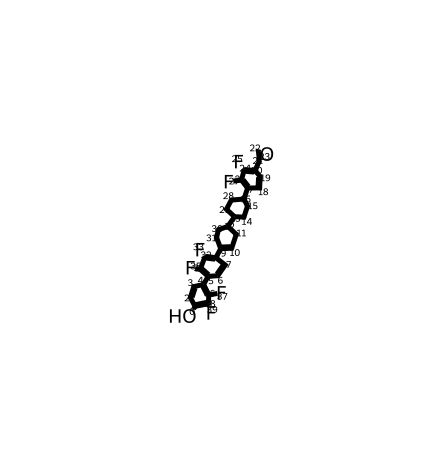 Oc1ccc(-c2ccc(C3=CCC(C4CCC(c5ccc(C6CO6)c(F)c5F)CC4)CC3)c(F)c2F)c(F)c1F